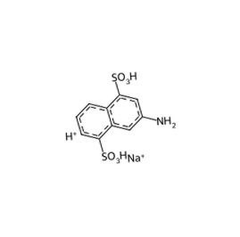 Nc1cc(S(=O)(=O)O)c2cccc(S(=O)(=O)O)c2c1.[H+].[Na+]